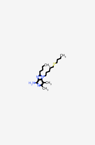 CCCCSCCCCCn1c(CCCC)nc2c(N)nc(C)c(C)c21